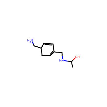 CC(O)NCC1=CCC(CN)C=C1